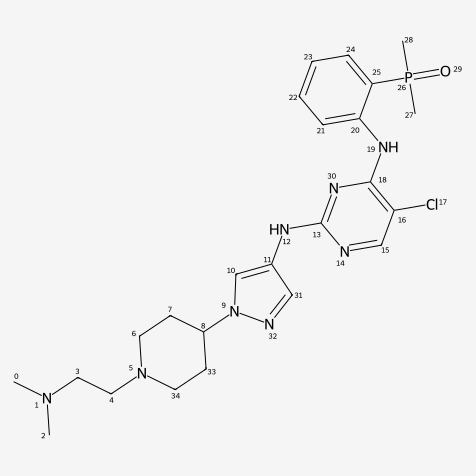 CN(C)CCN1CCC(n2cc(Nc3ncc(Cl)c(Nc4ccccc4P(C)(C)=O)n3)cn2)CC1